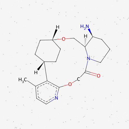 Cc1ccnc2c1[C@H]1CC[C@H](CC1)OC[C@H]1[C@@H](N)CCCN1C(=O)CO2